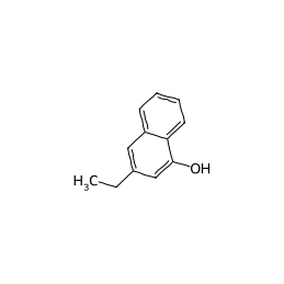 CCc1cc(O)c2ccccc2c1